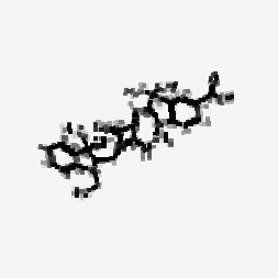 CCN1/C(=C/C2=C(O)C(=C\C3=[N+](C)c4ccc(C(=O)O)cc4C3(C)C)/C2=O)C(C)(C)c2ccccc21